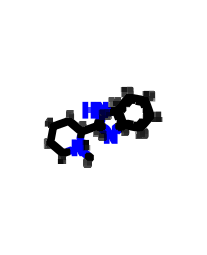 CN1CCCCC1c1nc2ccccc2[nH]1